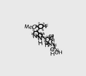 COc1ccc(F)cc1-c1ccnc2[nH]c(C3C[C@@H]4CN(CC(O)CO)C[C@@H]4C3)cc12